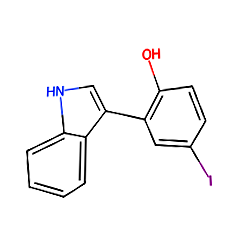 Oc1ccc(I)cc1-c1c[nH]c2ccccc12